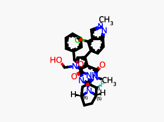 Cn1cc2c(Cl)c(-c3cn(CO)c4nc(N5[C@@H]6CC[C@H]5[C@H](F)[C@H](NC(=O)OCc5ccccc5)C6)n(C)c(=O)c34)ccc2n1